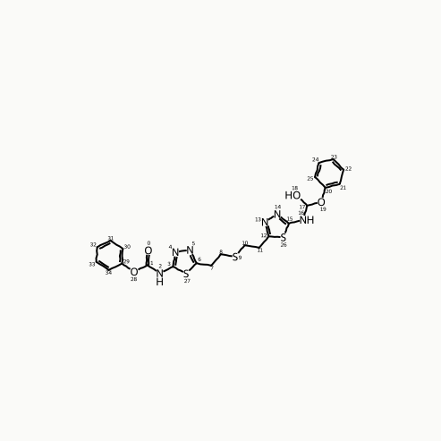 O=C(Nc1nnc(CCSCCc2nnc(NC(O)Oc3ccccc3)s2)s1)Oc1ccccc1